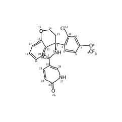 O=C(N[C@]1(c2ccc(OC(F)(F)F)cc2Cl)CCOc2cccnc21)c1ccc(=O)[nH]c1